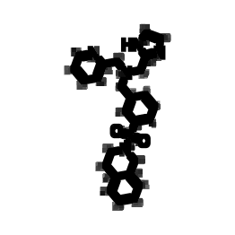 O=S(=O)(c1cccc(CN(Cc2ccccn2)Cc2ncc[nH]2)c1)N1CCc2ccccc2C1